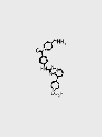 NCC1CCN(C(=O)c2ccc(Nc3nc4c(C5=CCN(C(=O)O)CC5)cccn4n3)cc2)CC1